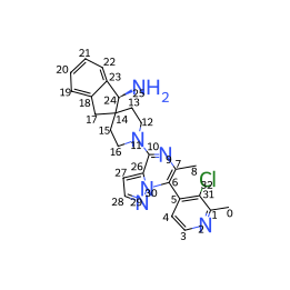 Cc1nccc(-c2c(C)nc(N3CCC4(CC3)Cc3ccccc3[C@H]4N)c3ccnn23)c1Cl